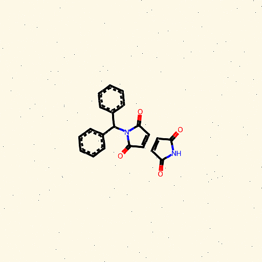 O=C1C=CC(=O)N1.O=C1C=CC(=O)N1C(c1ccccc1)c1ccccc1